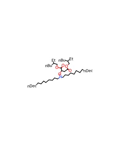 CCCCCCCCCCCCCCCCCCN(CCCCCCCCCCCCCCCCCC)OC(CC(=O)OCC(CC)CCCC)C(=O)OCC(CC)CCCC